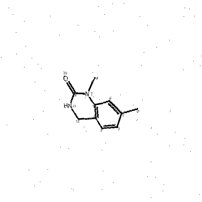 Cc1ccc2c(c1)N(C)C(=O)NC2